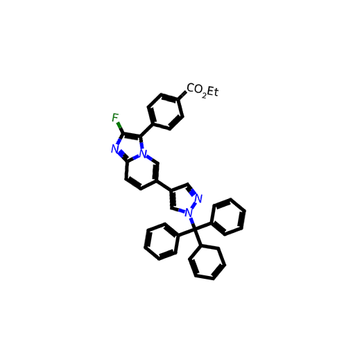 CCOC(=O)c1ccc(-c2c(F)nc3ccc(-c4cnn(C(c5ccccc5)(c5ccccc5)C5C=CC=CC5)c4)cn23)cc1